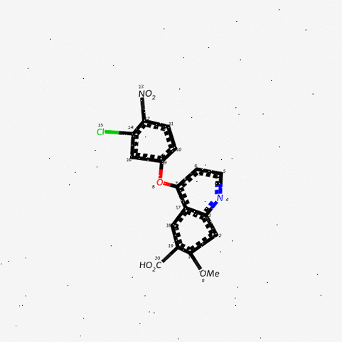 COc1cc2nccc(Oc3ccc([N+](=O)[O-])c(Cl)c3)c2cc1C(=O)O